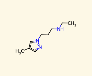 CCNCCCn1cc(C)cn1